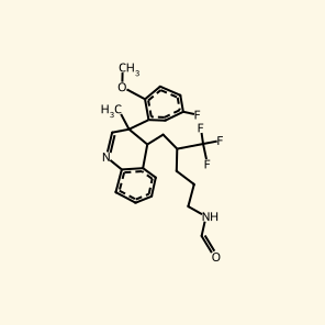 COc1ccc(F)cc1C1(C)C=Nc2ccccc2C1CC(CCCNC=O)C(F)(F)F